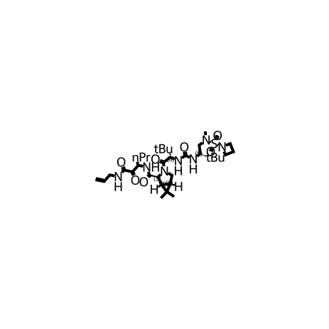 C=CCNC(=O)C(=O)C(CCC)NC(=O)[C@@H]1[C@@H]2[C@H](CN1C(=O)[C@@H](NC(=O)N[C@H](CN(C)S(=O)(=O)N1CCC1)C(C)(C)C)C(C)(C)C)C2(C)C